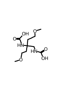 COCCC(CCOC)(CNC(=O)O)NC(=O)O